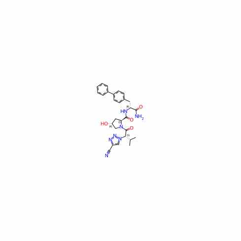 CC(C)[C@@H](C(=O)N1C[C@H](O)C[C@H]1C(=O)N[C@H](Cc1ccc(-c2ccccc2)cc1)C(N)=O)n1cc(C#N)nn1